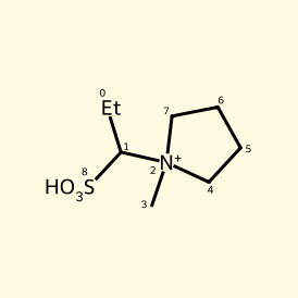 CCC([N+]1(C)CCCC1)S(=O)(=O)O